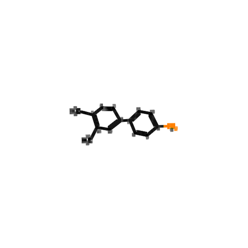 Cc1ccc(-c2ccc(P)cc2)cc1C